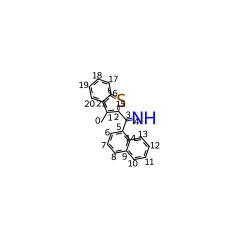 Cc1c(C(=N)c2cccc3ccccc23)sc2ccccc12